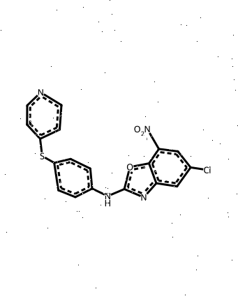 O=[N+]([O-])c1cc(Cl)cc2nc(Nc3ccc(Sc4ccncc4)cc3)oc12